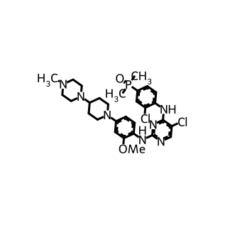 COc1cc(N2CCC(N3CCN(C)CC3)CC2)ccc1Nc1ncc(Cl)c(Nc2ccc(P(C)(C)=O)cc2Cl)n1